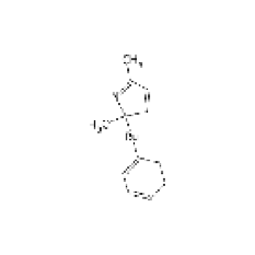 CC1=N[C](C)([Ru][C]2=CC=CCC2)C=C1